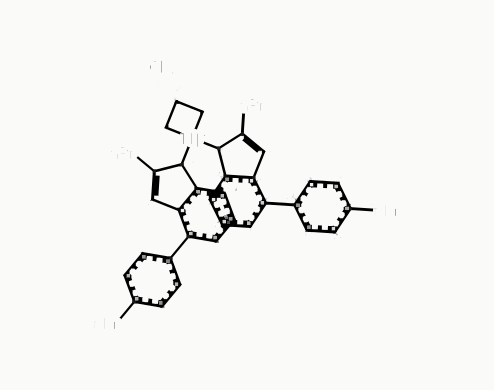 CCCC1=Cc2c(-c3ccc(CCC)cc3)cccc2[CH]1[Hf+2]1([CH]2C(CCC)=Cc3c(-c4ccc(CCC)cc4)cccc32)[CH2]C[CH2]1.[Cl-].[Cl-]